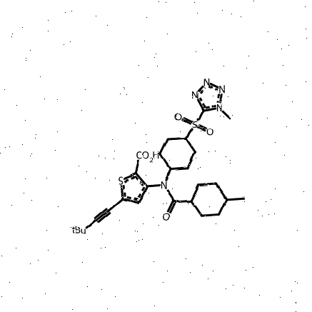 CC1CCC(C(=O)N(c2cc(C#CC(C)(C)C)sc2C(=O)O)C2CCC(S(=O)(=O)c3nnnn3C)CC2)CC1